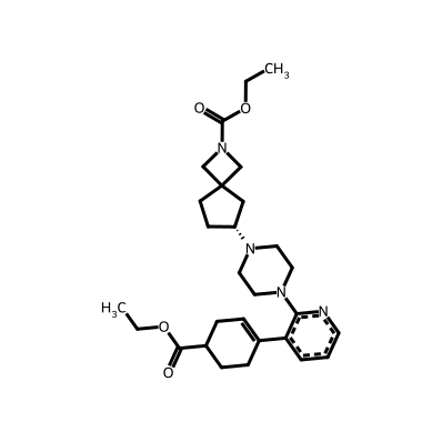 CCOC(=O)C1CC=C(c2cccnc2N2CCN([C@@H]3CCC4(C3)CN(C(=O)OCC)C4)CC2)CC1